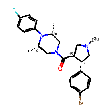 C[C@@H]1CN(C(=O)[C@H]2CN(C(C)(C)C)C[C@@H]2c2ccc(Br)cc2)C[C@H](C)N1c1ccc(F)cc1